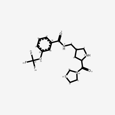 O=C(NCC1CNC(C(=O)N2CCSC2)C1)c1cccc(OC(F)(F)F)c1